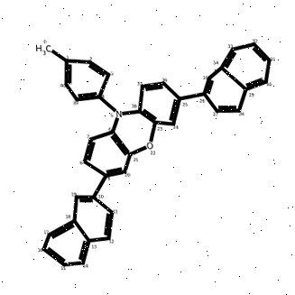 Cc1ccc(N2c3ccc(-c4ccc5ccccc5c4)cc3Oc3cc(-c4ccc5ccccc5c4)ccc32)cc1